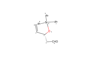 C=C[C@@H](CC=O)O[Si](C(C)C)(C(C)C)C(C)C